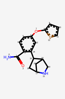 NC(=O)c1ccc(Oc2cccs2)cc1C1CC2CC1CN2